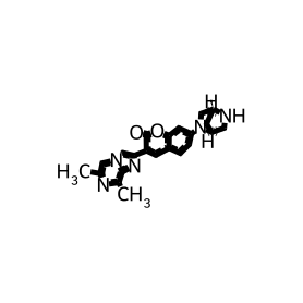 Cc1cn2cc(-c3cc4ccc(N5C[C@@H]6C[C@H]5CN6)cc4oc3=O)nc2c(C)n1